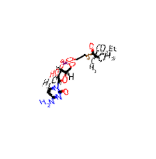 CCOC(=O)C(C)(C)C(=O)SCCOP1(=O)OC[C@H]2O[C@@H](n3ccc(N)nc3=O)[C@](C)(O)[C@@H]2O1